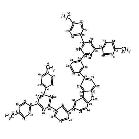 Cc1ccc(-c2nc(-c3ccc(C)cc3)nc(-c3cccc(-c4ccc5oc6ccc(-c7cccc(-c8nc(-c9ccc(C)cc9)nc(-c9ccc(C)cc9)n8)c7)cc6c5c4)c3)n2)cc1